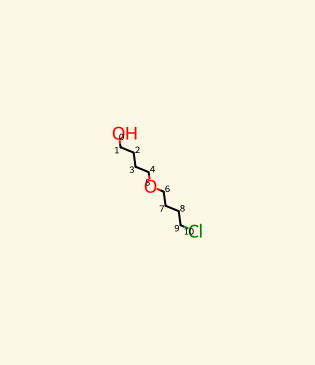 OCCCCOCCCCCl